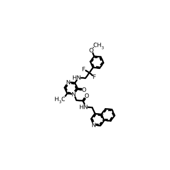 COc1cccc(C(F)(F)CNc2ncc(C)n(CC(=O)NCc3cncc4ccccc34)c2=O)c1